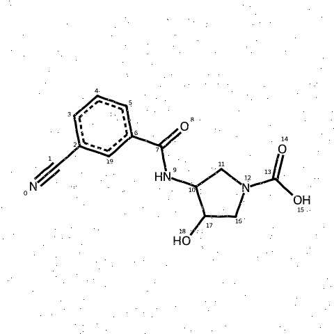 N#Cc1cccc(C(=O)NC2CN(C(=O)O)CC2O)c1